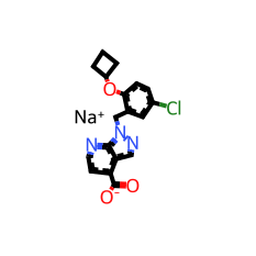 O=C([O-])c1ccnc2c1cnn2Cc1cc(Cl)ccc1OC1CCC1.[Na+]